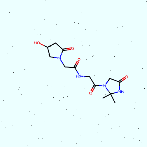 CC1(C)NC(=O)CN1C(=O)CNC(=O)CN1CC(O)CC1=O